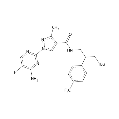 CCC(C)CC(CNC(=O)c1cn(-c2ncc(F)c(N)n2)nc1C)c1ccc(C(F)(F)F)cc1